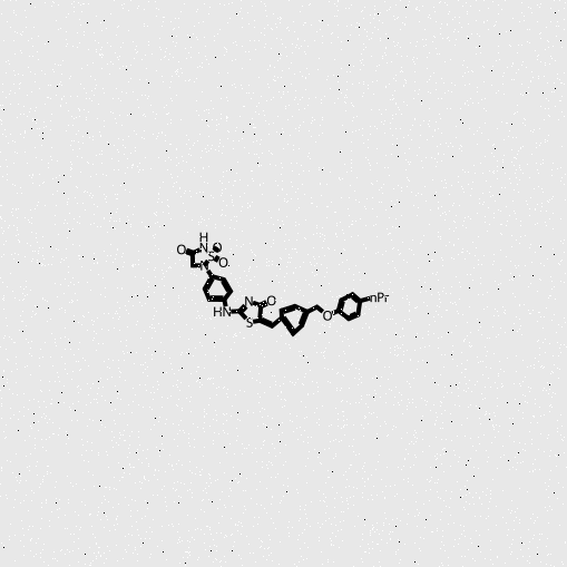 CCCc1ccc(OCc2ccc(C=C3SC(Nc4ccc(N5CC(=O)NS5(=O)=O)cc4)=NC3=O)cc2)cc1